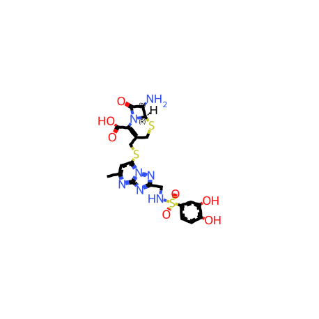 Cc1cc(SCC2=C(C(=O)O)N3C(=O)[C@@H](N)[C@H]3SC2)n2nc(CNS(=O)(=O)c3ccc(O)c(O)c3)nc2n1